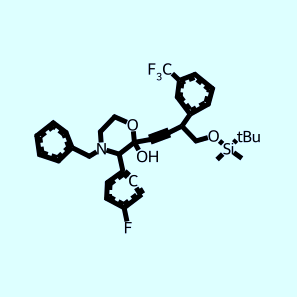 CC(C)(C)[Si](C)(C)OCC(C#CC1(O)OCCN(Cc2ccccc2)C1c1ccc(F)cc1)c1cccc(C(F)(F)F)c1